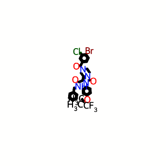 CC(C)(Oc1ccc(-n2c(C(=O)NCc3ccccc3)c3n(c2=O)CCN(C(=O)c2ccc(Br)c(Cl)c2)C3)cc1)C(F)(F)F